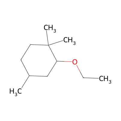 CCOC1CC(C)CCC1(C)C